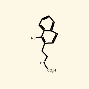 N#Cc1c(CCNC(=O)O)ccc2ccccc12